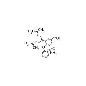 CN(C)CCN(CCN(C)C)c1cc(CO)cc(S(N)(=O)=O)c1Oc1ccccc1